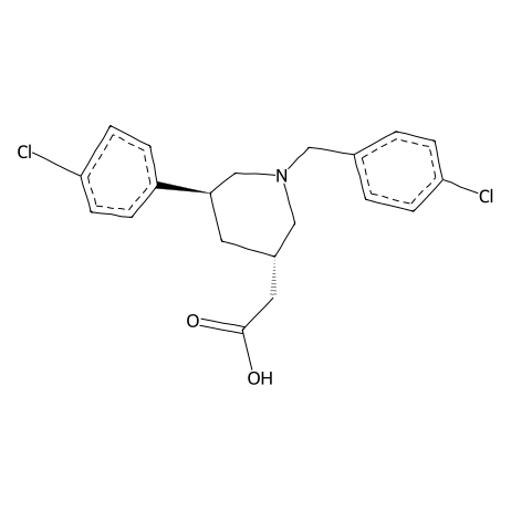 O=C(O)C[C@@H]1C[C@@H](c2ccc(Cl)cc2)CN(Cc2ccc(Cl)cc2)C1